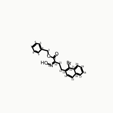 O=C(OCc1ccccc1)C(CCc1ccc2ccccc2c1Br)=NO